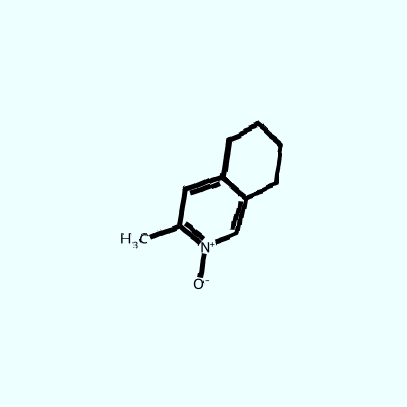 Cc1cc2c(c[n+]1[O-])CCCC2